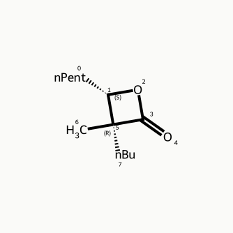 CCCCC[C@@H]1OC(=O)[C@]1(C)CCCC